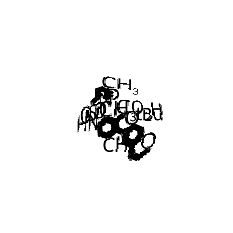 Cc1cc(CS(=O)(=O)Nc2cc(C)c(-c3ccc4c(c3)CCCO4)c(C(OC(C)(C)C)C(=O)O)c2C)no1